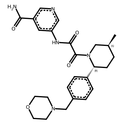 C[C@H]1CC[C@H](c2ccc(CN3CCOCC3)cc2)N(C(=O)C(=O)Nc2cncc(C(N)=O)c2)C1